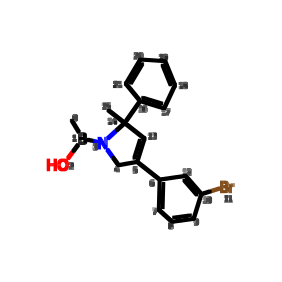 CB(O)N1CC(c2cccc(Br)c2)=CC1(C)c1ccccc1